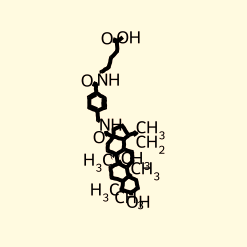 C=C(C)C1CCC2(C(=O)NCc3ccc(C(=O)NCCCCC(=O)O)cc3)CC[C@]3(C)C(CCC4C5(C)CCC(O)C(C)(C)C5CCC43C)C12